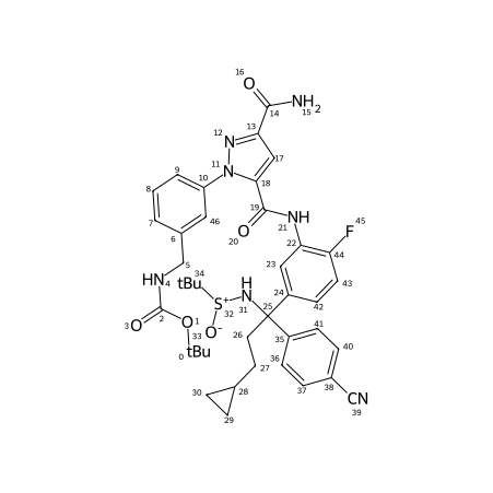 CC(C)(C)OC(=O)NCc1cccc(-n2nc(C(N)=O)cc2C(=O)Nc2cc(C(CCC3CC3)(N[S+]([O-])C(C)(C)C)c3ccc(C#N)cc3)ccc2F)c1